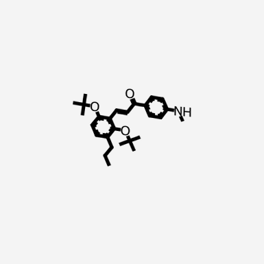 CCCc1ccc(OC(C)(C)C)c(C=CC(=O)c2ccc(NC)cc2)c1OC(C)(C)C